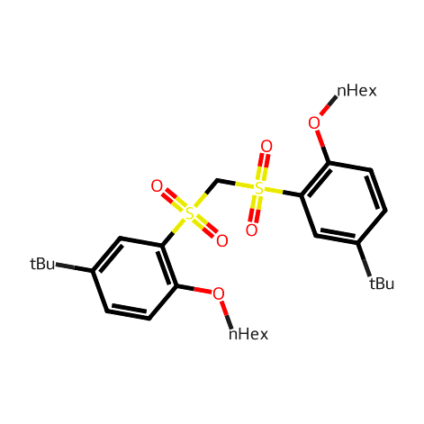 CCCCCCOc1ccc(C(C)(C)C)cc1S(=O)(=O)CS(=O)(=O)c1cc(C(C)(C)C)ccc1OCCCCCC